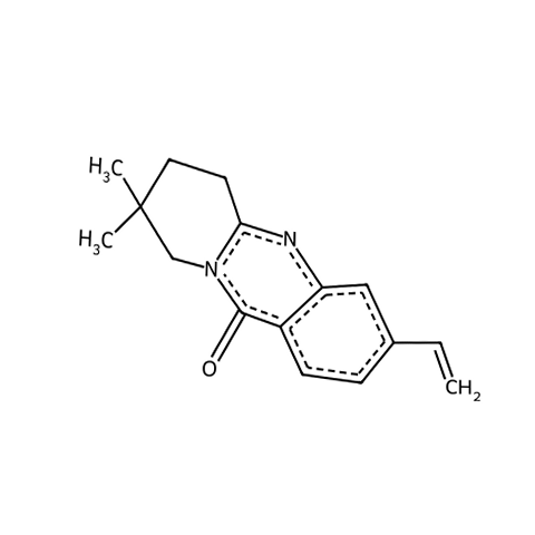 C=Cc1ccc2c(=O)n3c(nc2c1)CCC(C)(C)C3